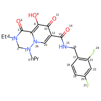 CCCN1CN(CC)C(=O)c2c(O)c(=O)c(C(=O)NCc3ccc(F)cc3F)cn21